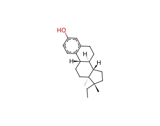 CC[C@@]1(C)CC[C@H]2[C@@H]3CCc4cc(O)ccc4[C@H]3CC[C@@]21C